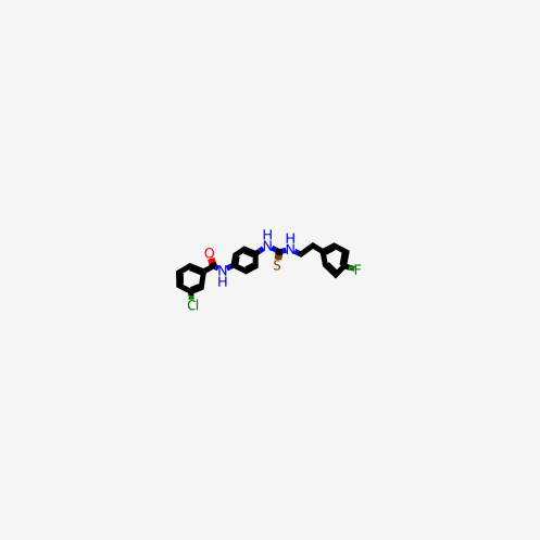 O=C(Nc1ccc(NC(=S)NCCc2ccc(F)cc2)cc1)c1cccc(Cl)c1